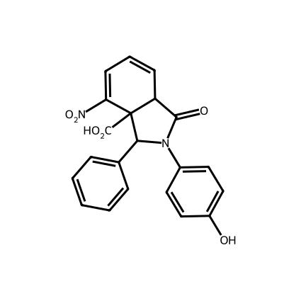 O=C1C2C=CC=C([N+](=O)[O-])C2(C(=O)O)C(c2ccccc2)N1c1ccc(O)cc1